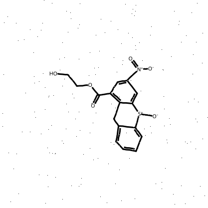 O=C(OCCO)c1cc([N+](=O)[O-])cc2c1Cc1ccccc1[S+]2[O-]